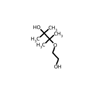 CC(C)(O)C(C)(C)OCCO